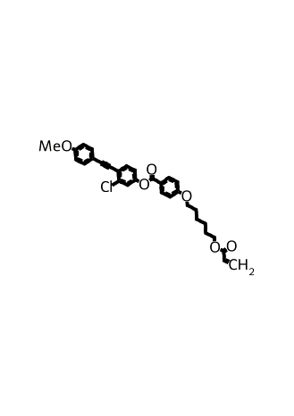 C=CC(=O)OCCCCCCOc1ccc(C(=O)Oc2ccc(C#Cc3ccc(OC)cc3)c(Cl)c2)cc1